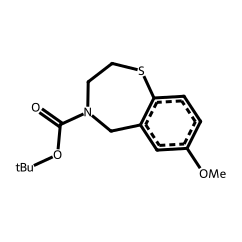 COc1ccc2c(c1)CN(C(=O)OC(C)(C)C)CCS2